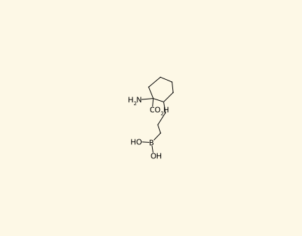 NC1(C(=O)O)CCCCC1CCCB(O)O